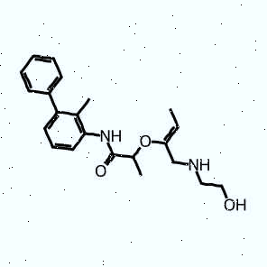 C/C=C(/CNCCO)OC(C)C(=O)Nc1cccc(-c2ccccc2)c1C